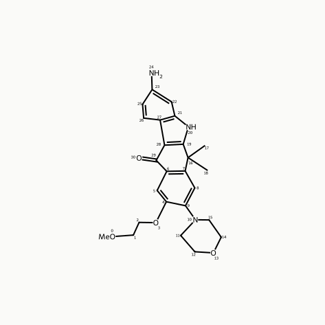 COCCOc1cc2c(cc1N1CCOCC1)C(C)(C)c1[nH]c3cc(N)ccc3c1C2=O